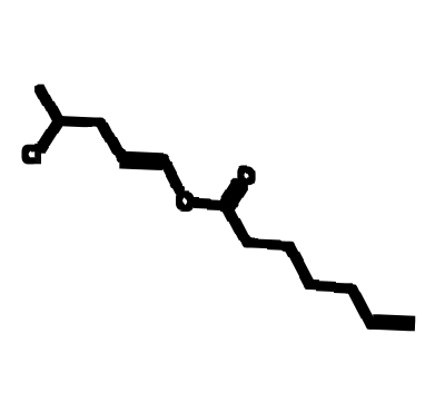 C=CCCCCC(=O)OC=CCC(C)Cl